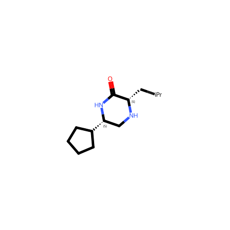 CC(C)C[C@@H]1NC[C@H](C2CCCC2)NC1=O